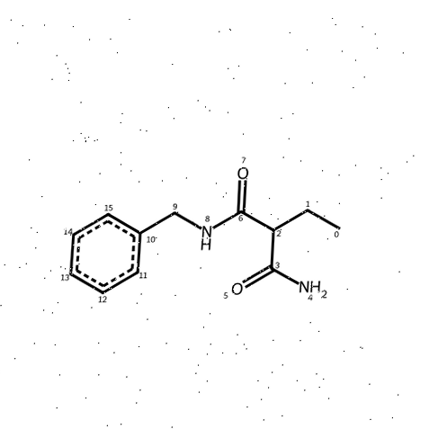 CCC(C(N)=O)C(=O)NCc1ccccc1